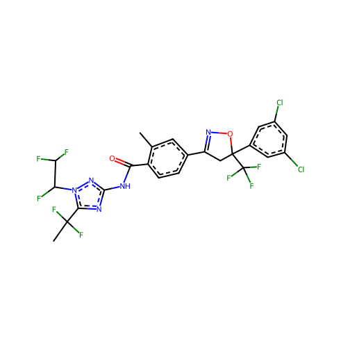 Cc1cc(C2=NOC(c3cc(Cl)cc(Cl)c3)(C(F)(F)F)C2)ccc1C(=O)Nc1nc(C(C)(F)F)n(C(F)C(F)F)n1